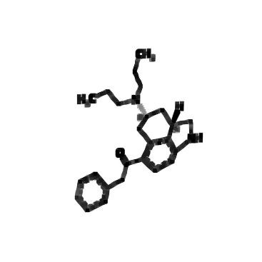 CCCN(CCC)[C@H]1Cc2c(C(=O)Cc3ccccc3)ccc3c2[C@@H](CN3)C1